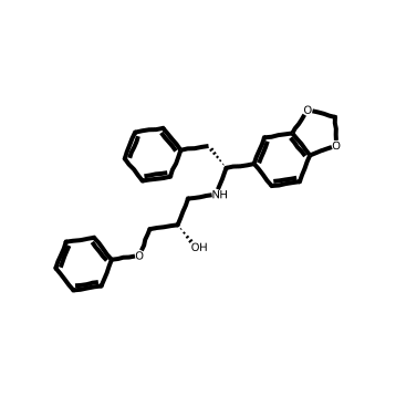 O[C@@H](CN[C@H](Cc1ccccc1)c1ccc2c(c1)OCO2)COc1ccccc1